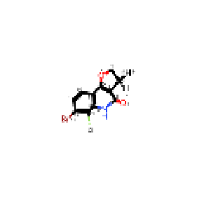 [2H]C1([2H])COc2c1c(=O)[nH]c1c(F)c(Br)ccc21